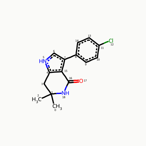 CC1(C)Cc2[nH]cc(-c3ccc(Cl)cc3)c2C(=O)N1